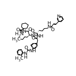 CCCC[C@H](NC(=O)[C@H](CCCCNC(=O)/C=C/c1cccnc1)NC(=O)Cc1ccc(NC(=O)Nc2ccccc2C)cc1)C(=O)NC1(C(N)=O)CCCCC1